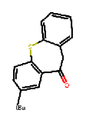 CC(C)(C)c1ccc2c(c1)C(=O)Cc1ccccc1S2